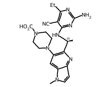 CCc1nc(N)nc(N[C@@H](C)c2nc3ccn(C)c3cc2N2CCN(C(=O)O)CC2)c1C#N